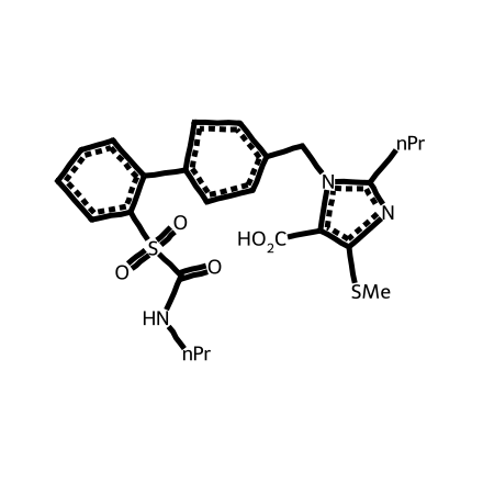 CCCNC(=O)S(=O)(=O)c1ccccc1-c1ccc(Cn2c(CCC)nc(SC)c2C(=O)O)cc1